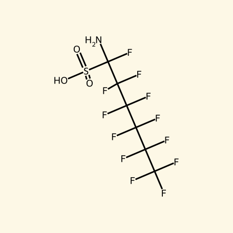 NC(F)(C(F)(F)C(F)(F)C(F)(F)C(F)(F)C(F)(F)F)S(=O)(=O)O